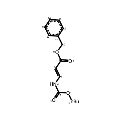 CCCCOC(=O)NC=CC(=O)OCc1ccccc1